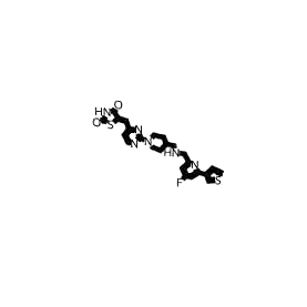 O=C1NC(=O)/C(=C/c2ccnc(N3CCC(CNCc4cc(F)cc(-c5ccsc5)n4)CC3)n2)S1